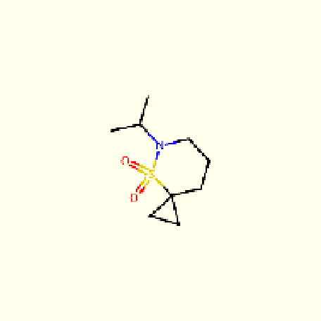 CC(C)N1CCCC2(CC2)S1(=O)=O